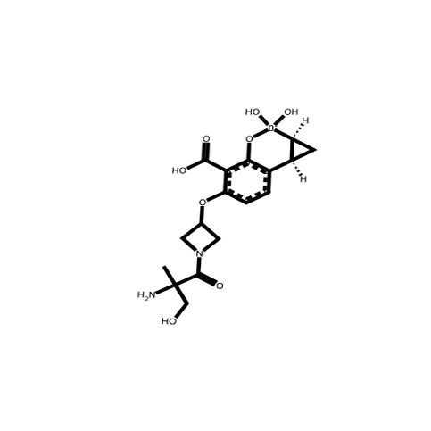 CC(N)(CO)C(=O)N1CC(Oc2ccc3c(c2C(=O)O)O[B-](O)(O)[C@H]2C[C@@H]32)C1